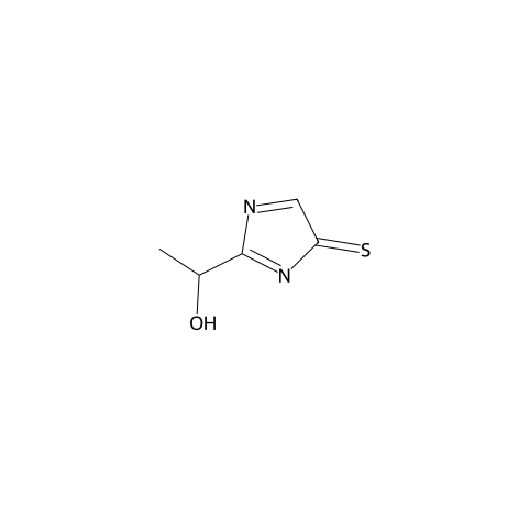 CC(O)C1=NC(=S)C=N1